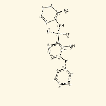 CCC(CC)(PC1=C(C(C)=O)CCC=C1)c1cccc(Cc2ccccc2)c1O